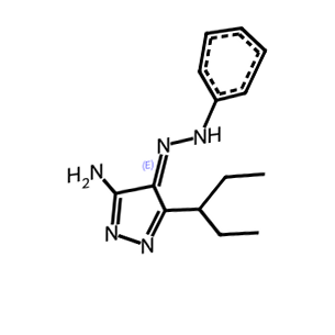 CCC(CC)C1=NN=C(N)/C1=N/Nc1ccccc1